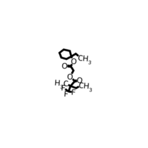 CCC1(OC(=O)COC(=O)C(C)(CC)C(F)(F)F)CCCCC1